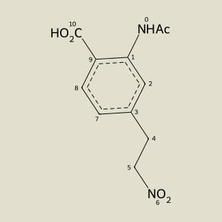 CC(=O)Nc1cc(CC[N+](=O)[O-])ccc1C(=O)O